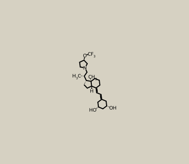 C[C@H](CN1CC[C@@H](OC(F)(F)F)C1)[C@H]1CC[C@H]2/C(=C/C=C3\C[C@@H](O)C[C@@H](O)C3)CCC[C@]12C